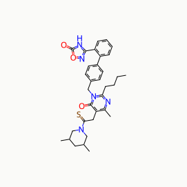 CCCCc1nc(C)c(CC(=S)N2CC(C)CC(C)C2)c(=O)n1Cc1ccc(-c2ccccc2-c2noc(=O)[nH]2)cc1